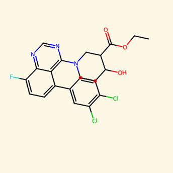 CCOC(=O)C1CN(c2ncnc3c(F)ccc(-c4ccc(Cl)c(Cl)c4)c23)CCC1O